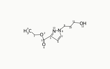 CCOC(=O)c1ccn(CCCO)n1